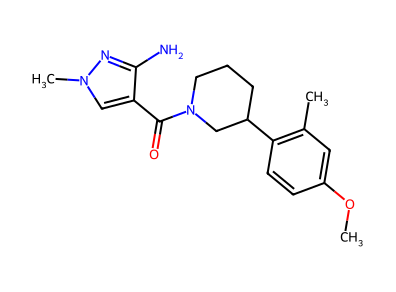 COc1ccc(C2CCCN(C(=O)c3cn(C)nc3N)C2)c(C)c1